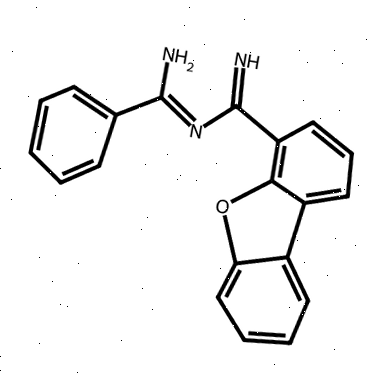 N=C(/N=C(\N)c1ccccc1)c1cccc2c1oc1ccccc12